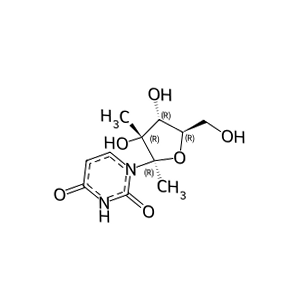 C[C@@]1(n2ccc(=O)[nH]c2=O)O[C@H](CO)[C@@H](O)[C@@]1(C)O